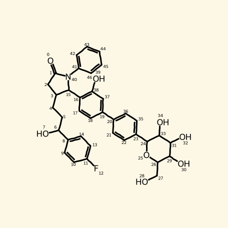 O=C1CC(CCC(O)c2ccc(F)cc2)C(c2ccc(-c3ccc(C4OC(CO)C(O)C(O)C4O)cc3)cc2O)N1c1ccccc1